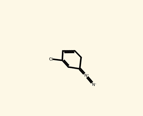 [N-]=[N+]=C1C=C(Cl)C=CC1